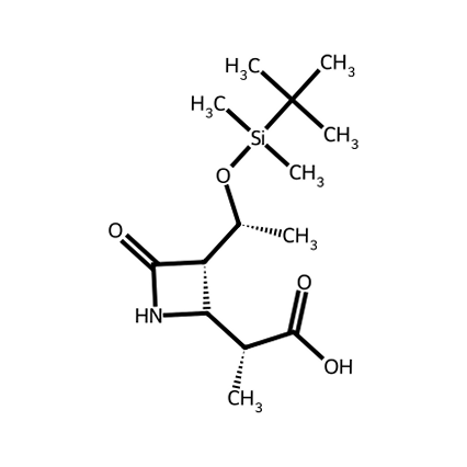 C[C@@H](C(=O)O)C1NC(=O)[C@@H]1[C@@H](C)O[Si](C)(C)C(C)(C)C